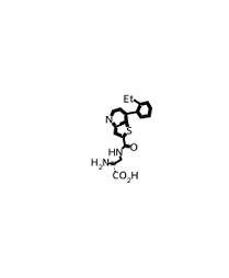 CCc1ccccc1-c1ccnc2cc(C(=O)NC[C@@H](N)C(=O)O)sc12